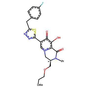 COCCOC[C@H]1Cn2cc(-c3nnc(Cc4ccc(F)cc4)s3)c(=O)c(O)c2C(=O)N1C(C)C